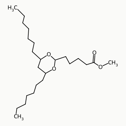 CCCCCCCC1CC(CCCCCCC)OC(CCCCC(=O)OC)O1